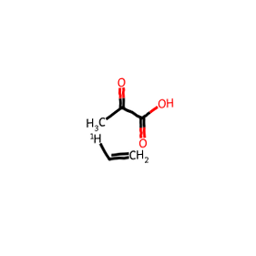 CC(=O)C(=O)O.[1H]C=C